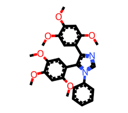 COc1cc(OC)c(-c2ncn(-c3ccccc3)c2-c2cc(OC)c(OC)cc2OC)cc1OC